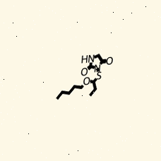 CCCCCOC(CC)SN1C(=O)CNC1=O